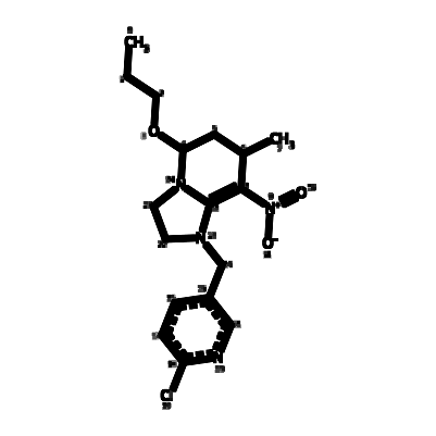 CCCOC1CC(C)C([N+](=O)[O-])=C2N(Cc3ccc(Cl)nc3)CCN21